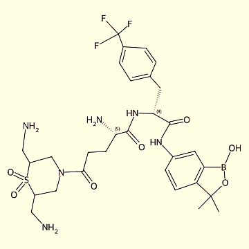 CC1(C)OB(O)c2cc(NC(=O)[C@@H](Cc3ccc(C(F)(F)F)cc3)NC(=O)[C@@H](N)CCC(=O)N3CC(CN)S(=O)(=O)C(CN)C3)ccc21